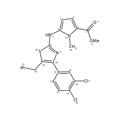 COC(=O)c1ccc(Nc2nc(-c3ccc(Cl)c(Cl)c3)c(CC(C)C)s2)n1C